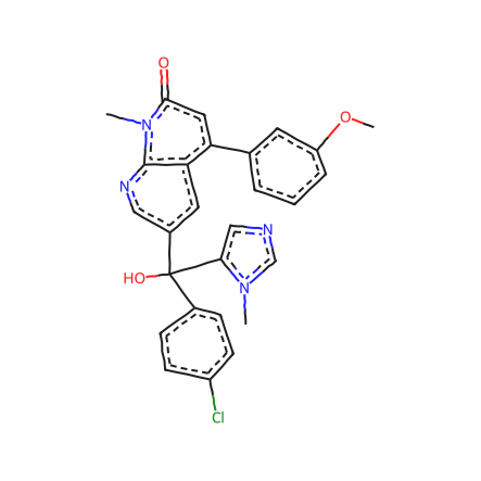 COc1cccc(-c2cc(=O)n(C)c3ncc(C(O)(c4ccc(Cl)cc4)c4cncn4C)cc23)c1